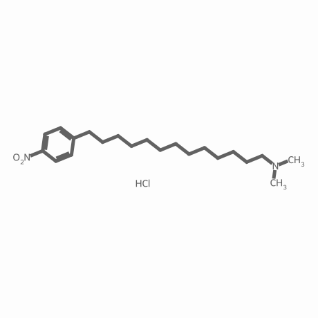 CN(C)CCCCCCCCCCCCCc1ccc([N+](=O)[O-])cc1.Cl